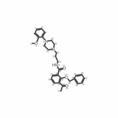 COc1ccccc1N1CCN(CCCNC(=O)c2cccc(C(C)=O)c2OCc2ccccc2)CC1